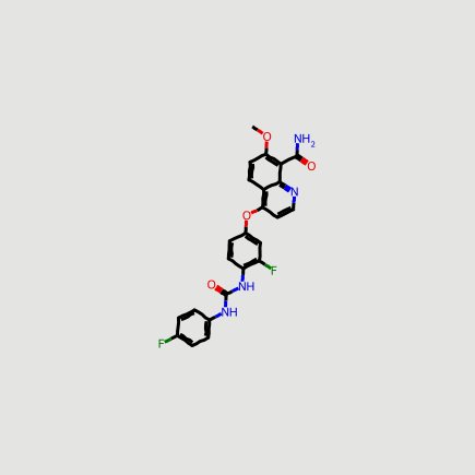 COc1ccc2c(Oc3ccc(NC(=O)Nc4ccc(F)cc4)c(F)c3)ccnc2c1C(N)=O